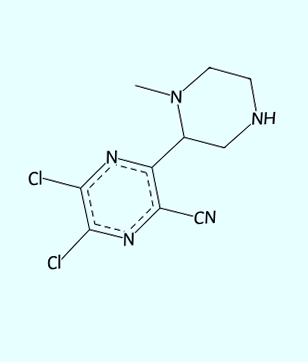 CN1CCNCC1c1nc(Cl)c(Cl)nc1C#N